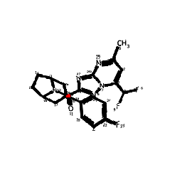 Cc1cc(C(F)F)n2nc(C(=O)N3C4CCC3CC(c3ccc(F)cc3)C4)nc2n1